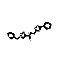 O=C(NCc1nnc(-c2ccccc2)s1)c1cn(Cc2cccnc2)nn1